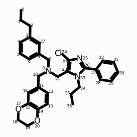 CCCc1cccc(CN(Cc2ccc3c(c2)OCCO3)Cc2c(Cl)nc(-c3ccccc3)n2CCC)c1